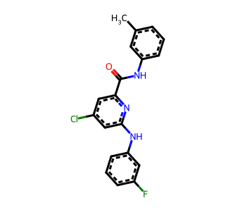 Cc1cccc(NC(=O)c2cc(Cl)cc(Nc3cccc(F)c3)n2)c1